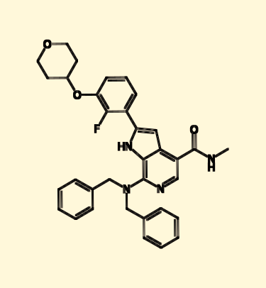 CNC(=O)c1cnc(N(Cc2ccccc2)Cc2ccccc2)c2[nH]c(-c3cccc(OC4CCOCC4)c3F)cc12